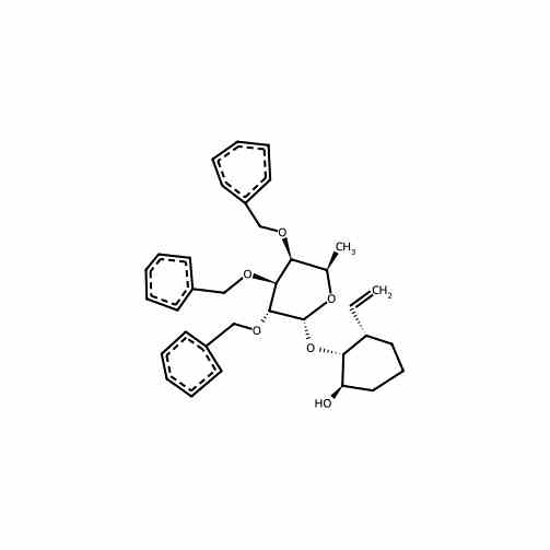 C=C[C@@H]1CCC[C@@H](O)[C@@H]1O[C@H]1O[C@H](C)[C@H](OCc2ccccc2)[C@H](OCc2ccccc2)[C@H]1OCc1ccccc1